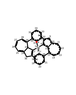 CC1=C([Si](C)(C)c2c(C)[c]c3ccccc(-c4ccccc4)c2-3)C2C(=CC=CC=C2c2ccccc2)[CH]1